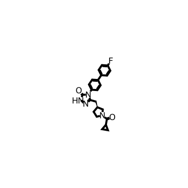 O=C(C1CC1)N1CC[C@@H](Cc2n[nH]c(=O)n2-c2ccc(-c3ccc(F)cc3)cc2)C1